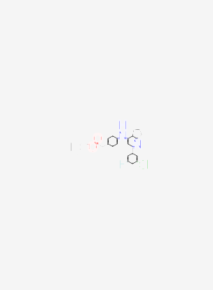 CCOC(=O)Cc1ccc(Nc2cc(-c3cc(F)cc(Cl)c3)nc3c2CCC3)cc1